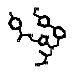 O=C(C[C@@H](Cc1cccc(-c2ccc(CO)cc2)c1)n1cc(CNC(=O)c2ccc(F)cc2)nn1)NO